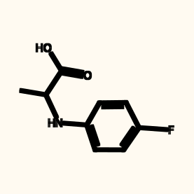 CC(Nc1ccc(F)cc1)C(=O)O